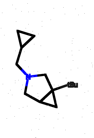 CC(C)(C)C12CC1CN(CC1CC1)C2